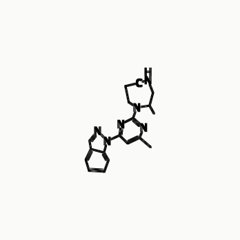 Cc1cc(-n2ncc3ccccc32)nc(N2CCCNCC2C)n1